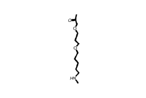 CNCCCCCOCCCOCC(C)=O